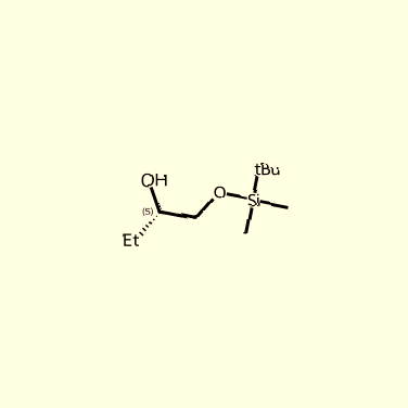 CC[C@H](O)CO[Si](C)(C)C(C)(C)C